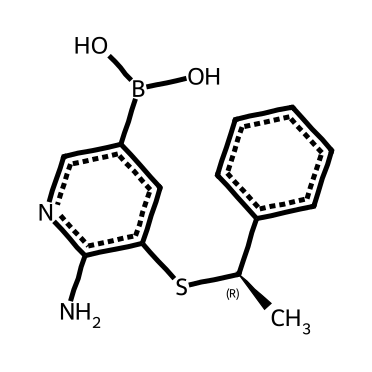 C[C@@H](Sc1cc(B(O)O)cnc1N)c1ccccc1